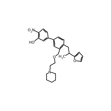 [CH2]C(Cc1ccc(-c2ccc([N+](=O)[O-])c(O)c2)cc1COCCN1CCCCC1)c1ccco1